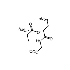 CCC(=O)[O-].CCCCCCCCCCCC(=O)NCC(=O)[O-].[Na+].[Na+]